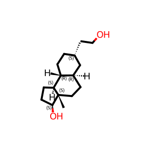 C[C@]12CC[C@@H]3C[C@@H](CCO)CC[C@H]3[C@@H]1CC[C@@H]2O